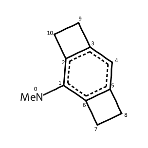 CNc1c2c(cc3c1CC3)CC2